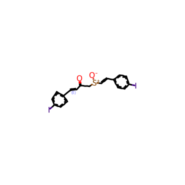 O=C(/C=C/c1ccc(I)cc1)C[S+]([O-])C=Cc1ccc(I)cc1